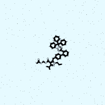 CCCn1nc(C(C)C)c(C(=O)OCOC(C)=O)c1Cc1ccc(-c2ccccc2-c2nnn(C(c3ccccc3)(c3ccccc3)c3ccccc3)n2)cc1